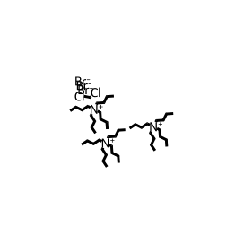 CCCC[N+](CCCC)(CCCC)CCCC.CCCC[N+](CCCC)(CCCC)CCCC.CCCC[N+](CCCC)(CCCC)CCCC.ClCCl.[Br-].[Br-].[Br-]